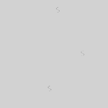 c1scc2c1sc1cscc12